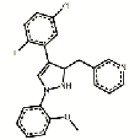 COc1ccccc1N1C=C(c2cc(Cl)ccc2F)C(Cc2cccnc2)N1